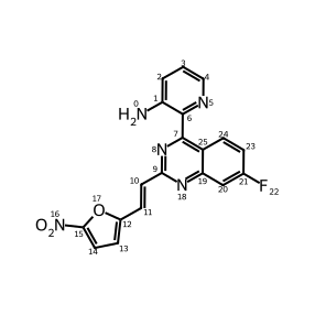 Nc1cccnc1-c1nc(/C=C/c2ccc([N+](=O)[O-])o2)nc2cc(F)ccc12